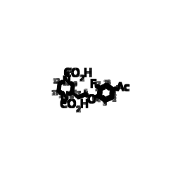 CC(=O)c1ccc(OCC[C@@H]2CN(C(=O)O)CCN2C(=O)O)c(F)c1